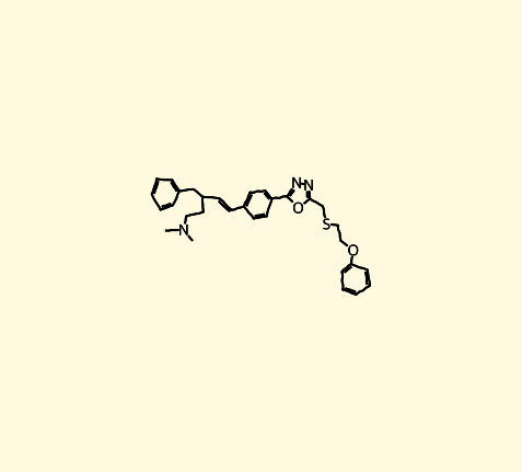 CN(C)CCC(C=Cc1ccc(-c2nnc(CSCCOc3ccccc3)o2)cc1)Cc1ccccc1